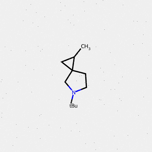 CC1CC12CCN(C(C)(C)C)C2